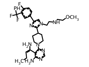 CC/C=C(/N)c1c(N)ncnc1N1CCC(c2nc(-c3ccc(F)c(C(F)(F)P)c3)cn2CCNCCOC)CC1